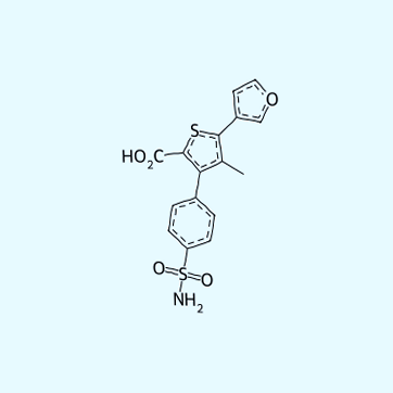 Cc1c(-c2ccoc2)sc(C(=O)O)c1-c1ccc(S(N)(=O)=O)cc1